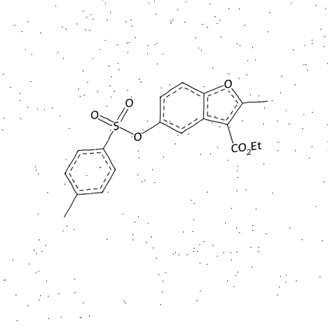 CCOC(=O)c1c(C)oc2ccc(OS(=O)(=O)c3ccc(C)cc3)cc12